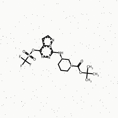 CC(C)(C)OC(=O)N1CCC[C@@H](Nc2nnc(OS(=O)(=O)C(F)(F)F)c3ccnn23)C1